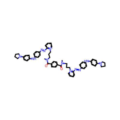 CN(CCC[n+]1ccccc1N=Nc1ccc(Nc2ccc(N3CCCC3)cc2)cc1)C(=O)c1ccc(C(=O)N(C)CCC[n+]2ccccc2/N=N/c2ccc(Nc3ccc(N4CCCC4)cc3)cc2)cc1